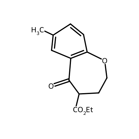 CCOC(=O)C1CCOc2ccc(C)cc2C1=O